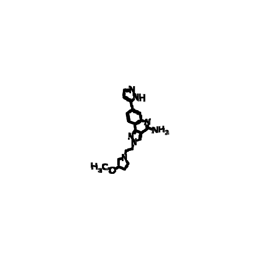 COC1CCN(CCn2cc3c(N)nc4cc(-c5ccn[nH]5)ccc4c3n2)C1